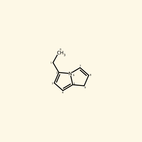 CCc1ccc2n1C=CC2